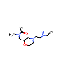 CC(C)CNCCN1CCO[C@H](CN(C)C(=O)C(C)C)C1